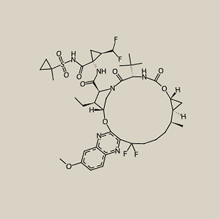 CC[C@@H]1[C@@H]2CN(C(=O)[C@H](C(C)(C)C)NC(=O)O[C@@H]3C[C@H]3[C@@H](C)CCCC(F)(F)c3nc4ccc(OC)cc4nc3O2)[C@@H]1C(=O)N[C@]1(C(=O)NS(=O)(=O)C2(C)CC2)C[C@H]1C(F)F